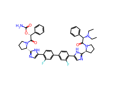 CCN(CC)[C@@H](C(=O)N1CCC[C@H]1c1ncc(-c2ccc(-c3ccc(-c4cnc([C@@H]5CCCN5C(=O)[C@H](OC(N)=O)c5ccccc5)[nH]4)c(F)c3)cc2F)[nH]1)c1ccccc1